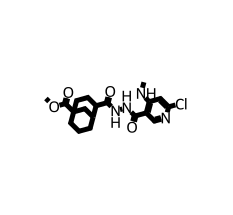 CNc1cc(Cl)ncc1C(=O)NNC(=O)C1CCC2(C(=O)OC)CCCC1C2